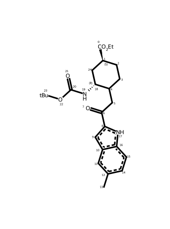 CCOC(=O)[C@H]1CCC(CC(=O)c2cc3cc(C)ccc3[nH]2)[C@H](NC(=O)OC(C)(C)C)C1